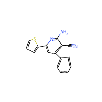 N#Cc1c(-c2ccccc2)cc(-c2cccs2)nc1N